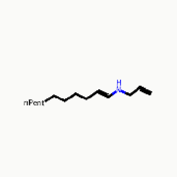 C=CCNC=CCCCCCCCCC